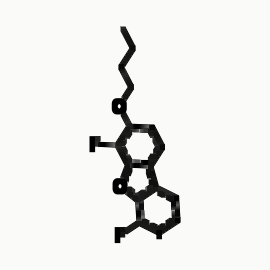 CCCCOc1ccc2c(oc3c(F)[c]ccc32)c1F